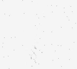 CCCCCCCCCCCCCCCCOC(=O)Nc1ccc(C(=O)O)cc1